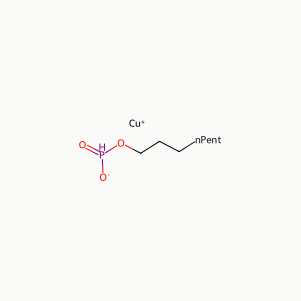 CCCCCCCCO[PH](=O)[O-].[Cu+]